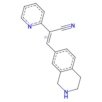 N#C/C(=C\c1ccc2c(c1)CNCC2)c1ccccn1